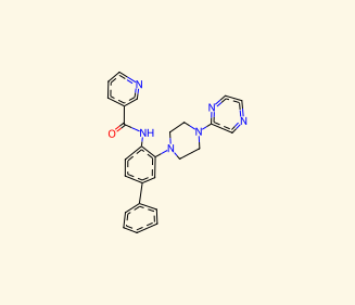 O=C(Nc1ccc(-c2ccccc2)cc1N1CCN(c2cnccn2)CC1)c1cccnc1